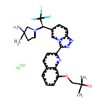 CC(C)(O)COc1cccc2ccc(-c3nnc4ccc([C@@H](N5CCC(C)(N)C5)C(F)(F)F)cn34)nc12.Cl.Cl